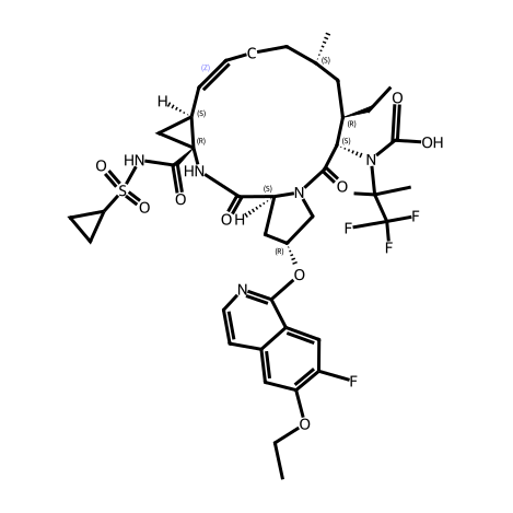 CCOc1cc2ccnc(O[C@@H]3C[C@H]4C(=O)N[C@]5(C(=O)NS(=O)(=O)C6CC6)C[C@H]5/C=C\CC[C@H](C)C[C@@H](CC)[C@H](N(C(=O)O)C(C)(C)C(F)(F)F)C(=O)N4C3)c2cc1F